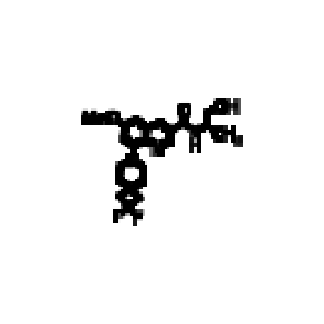 COc1cc(N2CCC3(CC2)CC(F)(F)C3)c2ncc(C(=O)N[C@H](C)CO)cc2c1